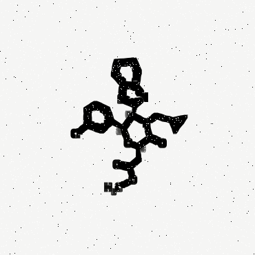 COC(=O)C[C@H]1O[C@@H](c2cccc(Cl)c2)[C@H](c2nc3ccccc3s2)N(CC2CC2)C1=O